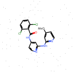 COc1ccnc(Nc2cc(NC(=O)c3c(Cl)cccc3Cl)ccn2)c1